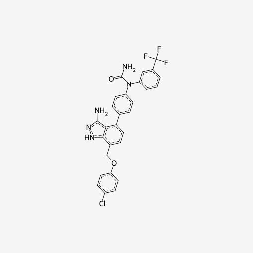 NC(=O)N(c1ccc(-c2ccc(COc3ccc(Cl)cc3)c3[nH]nc(N)c23)cc1)c1cccc(C(F)(F)F)c1